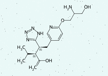 C=C(O)[C@@H](C(C)C)[C@H](Cc1ccc(OCC(N)CO)nc1)c1nnn[nH]1